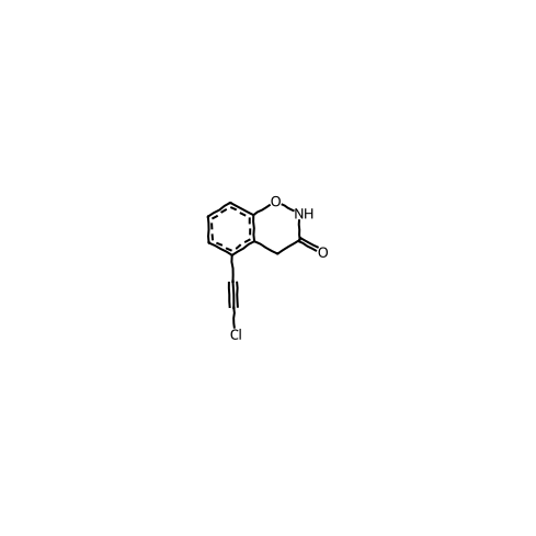 O=C1Cc2c(C#CCl)cccc2ON1